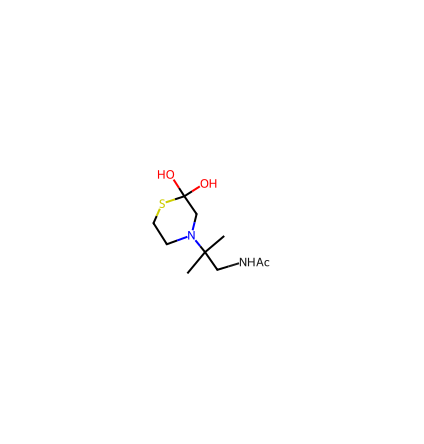 CC(=O)NCC(C)(C)N1CCSC(O)(O)C1